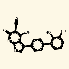 N#Cc1c(O)c2c(-c3ccc(-c4cccc(O)c4O)cc3)csc2[nH]c1=O